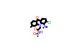 Cc1ccc2c(=O)c3ccc(Cl)c(N(C)C)c3n(CC(=O)N[S+](C)[O-])c2c1